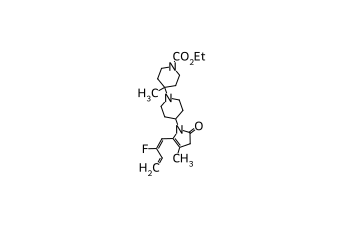 C=C/C(F)=C\C1=C(C)CC(=O)N1C1CCN(C2(C)CCN(C(=O)OCC)CC2)CC1